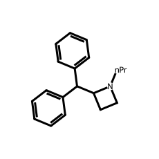 CCCN1CCC1C(c1ccccc1)c1ccccc1